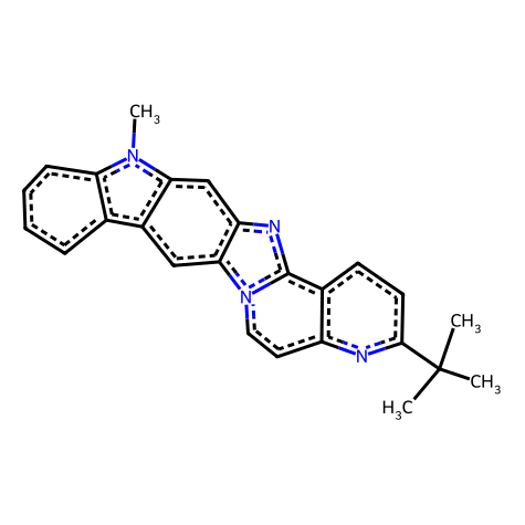 Cn1c2ccccc2c2cc3c(cc21)nc1c2ccc(C(C)(C)C)nc2ccn31